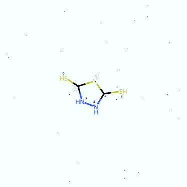 S[C]1NNC(S)S1